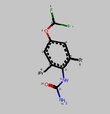 CC(C)c1cc(OC(F)F)cc(C(C)C)c1NC(N)=O